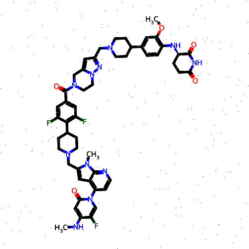 CNc1cc(=O)n(-c2ccnc3c2cc(CN2CCC(c4c(F)cc(C(=O)N5CCn6nc(CN7CCC(c8ccc(N[C@@H]9CCC(=O)NC9=O)c(OC)c8)CC7)cc6C5)cc4F)CC2)n3C)cc1F